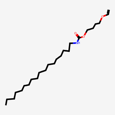 C=COCCCCOC(=O)NCCCCCCCCCCCCCCCCCC